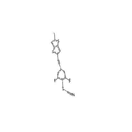 Cc1cc2sc(C#Cc3cc(F)c(SC#N)c(F)c3)cc2s1